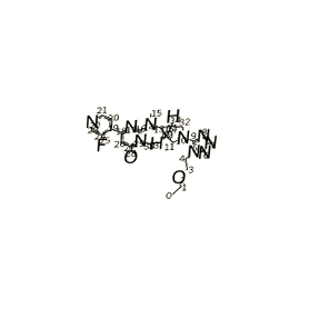 CCOCCn1nnnc1N1C[C@@H]2C(N(C)c3nc(-c4ccncc4F)cc(=O)n3C)[C@@H]2C1